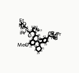 CCc1nnc(CN(C(=O)c2cnn(C)c2C2=Cc3cc(OC)ccc3-c3c(C4CCCCC4)c4ccc(C(=O)NS(=O)(=O)C(C)C)cc4n3C2)C(C)C)o1